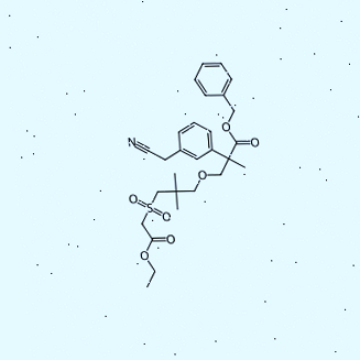 CCOC(=O)CS(=O)(=O)CC(C)(C)COCC(C)(C(=O)OCc1ccccc1)c1cccc(CC#N)c1